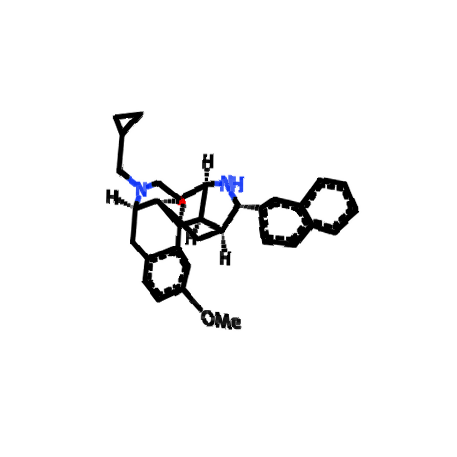 COc1ccc2c(c1)[C@@]13CCN(CC4CC4)[C@H](C2)[C@]12CC[C@H]1N[C@H](c4ccc5ccccc5c4)[C@@H](C2)[C@H]13